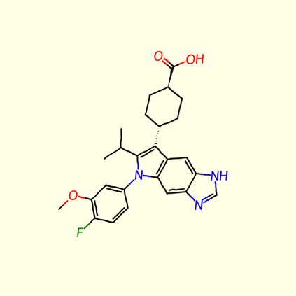 COc1cc(-n2c(C(C)C)c([C@H]3CC[C@H](C(=O)O)CC3)c3cc4[nH]cnc4cc32)ccc1F